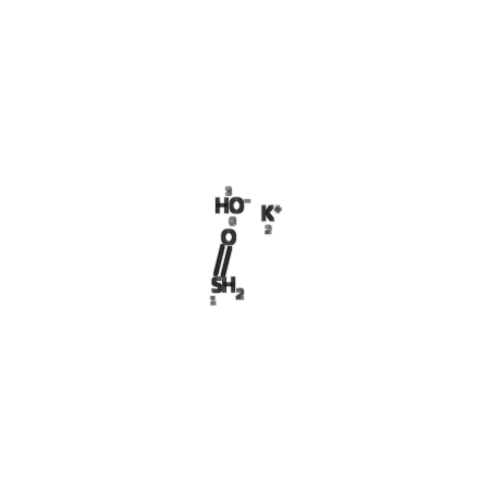 O=[SH2].[K+].[OH-]